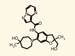 C[C@]1(O)CCCN(c2cc3c(cc2NC(=O)c2cnn4cccnc24)C[C@](C)(CO)O3)CC1